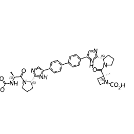 COC(=O)N[C@@H](C)C(=O)N1CCC[C@H]1c1ncc(-c2ccc(-c3ccc(-c4cnc([C@@H]5CCCN5C(=O)[C@]5(C)CCN5C(=O)O)[nH]4)cc3)cc2)[nH]1